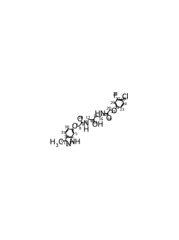 Cc1n[nH]c2cc(OCC(=O)NC[C@@H](O)CCNC(=O)COc3ccc(Cl)c(F)c3)ccc12